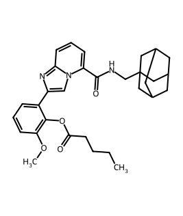 CCCCC(=O)Oc1c(OC)cccc1-c1cn2c(C(=O)NCC34CC5CC(CC(C5)C3)C4)cccc2n1